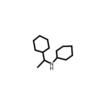 CC(NC1CCCCC1)C1CCCCC1